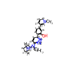 CN1C=C(c2ccc(-c3ccc(N(C)[C@H]4C[C@H]5CC[C@@H](C4)N5)nn3)c(O)c2)C=CC1